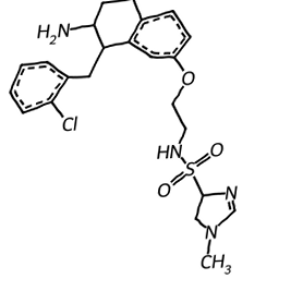 CN1C=NC(S(=O)(=O)NCCOc2ccc3c(c2)C(Cc2ccccc2Cl)C(N)CC3)C1